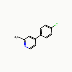 O=[N+]([O-])c1cc(-c2ccc(Cl)cc2)ccn1